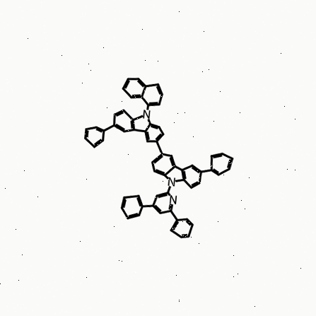 c1ccc(-c2cc(-c3ccccc3)nc(-n3c4ccc(-c5ccccc5)cc4c4cc(-c5ccc6c(c5)c5cc(-c7ccccc7)ccc5n6-c5cccc6ccccc56)ccc43)c2)cc1